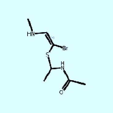 CN/C=C(/Br)SC(C)NC(C)=O